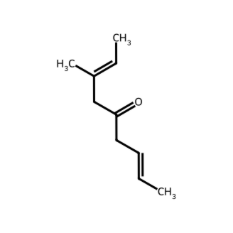 CC=CCC(=O)CC(C)=CC